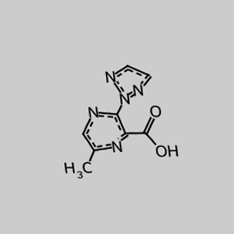 Cc1cnc(-n2nccn2)c(C(=O)O)n1